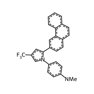 CNc1ccc(-n2cc(C(F)(F)F)cc2-c2ccc3ccc4ccccc4c3c2)cc1